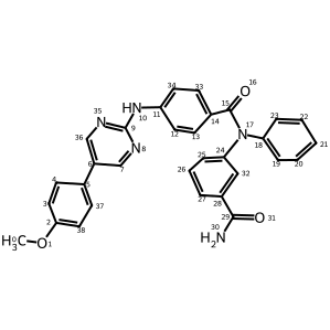 COc1ccc(-c2cnc(Nc3ccc(C(=O)N(c4ccccc4)c4cccc(C(N)=O)c4)cc3)nc2)cc1